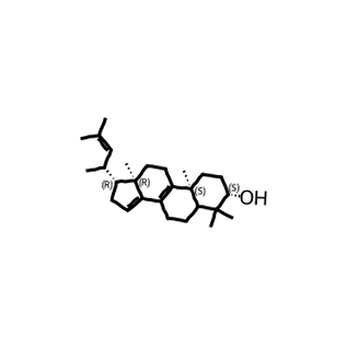 CC(C)=CC(C)[C@H]1CC=C2C3=C(CC[C@@]21C)[C@@]1(C)CC[C@H](O)C(C)(C)C1CC3